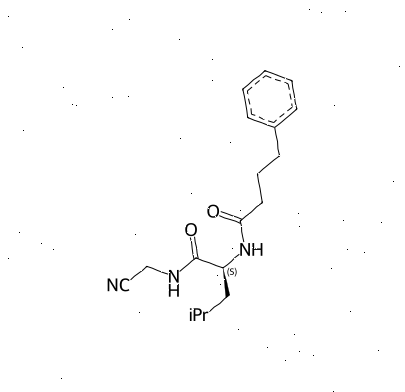 CC(C)C[C@H](NC(=O)CCCc1ccccc1)C(=O)NCC#N